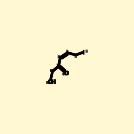 O=C(/C=C\CI)CO